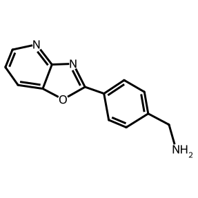 NCc1ccc(-c2nc3ncccc3o2)cc1